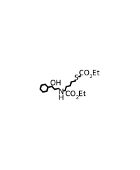 CCOC(=O)CSCCCCC(NCCC(O)C1CCCCC1)C(=O)OCC